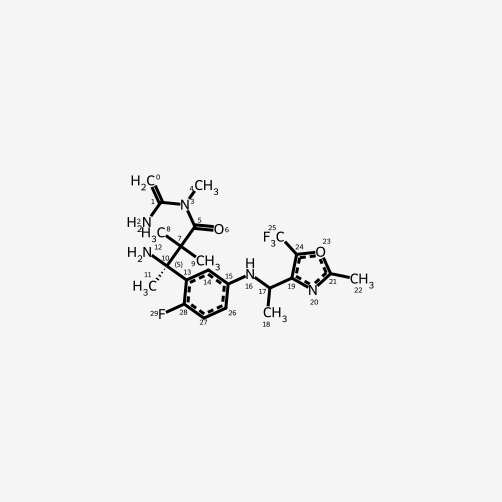 C=C(N)N(C)C(=O)C(C)(C)[C@](C)(N)c1cc(NC(C)c2nc(C)oc2C(F)(F)F)ccc1F